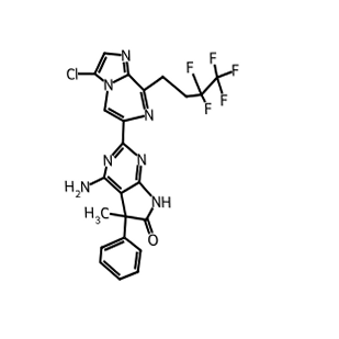 CC1(c2ccccc2)C(=O)Nc2nc(-c3cn4c(Cl)cnc4c(CCC(F)(F)C(F)(F)F)n3)nc(N)c21